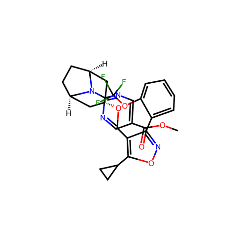 COC(=O)c1cnc(N2[C@@H]3CC[C@H]2C[C@H](OCc2c(-c4ccccc4OC(F)(F)F)noc2C2CC2)C3)nc1